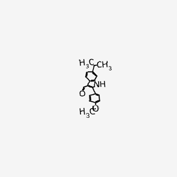 COc1ccc(-c2[nH]c3cc(C(C)C)ccc3c2C=O)cc1